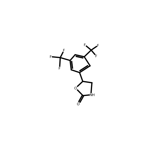 O=C1NCC(c2cc(C(F)(F)F)cc(C(F)(F)F)c2)O1